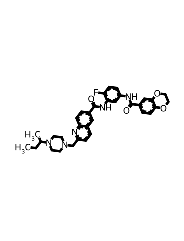 CCC(C)N1CCN(Cc2ccc3cc(C(=O)Nc4cc(NC(=O)c5ccc6c(c5)OCCO6)ccc4F)ccc3n2)CC1